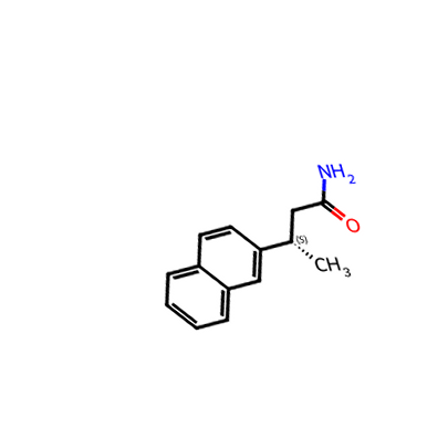 C[C@@H](CC(N)=O)c1ccc2ccccc2c1